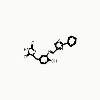 O=C1NC(=O)C(Cc2ccc(O)c(N=Cc3csc(-c4ccccc4)n3)c2)S1